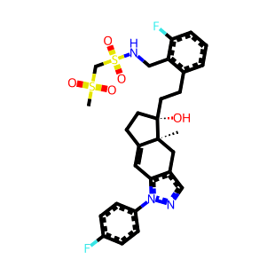 C[C@]12Cc3cnn(-c4ccc(F)cc4)c3C=C1CC[C@@]2(O)CCc1cccc(F)c1CNS(=O)(=O)CS(C)(=O)=O